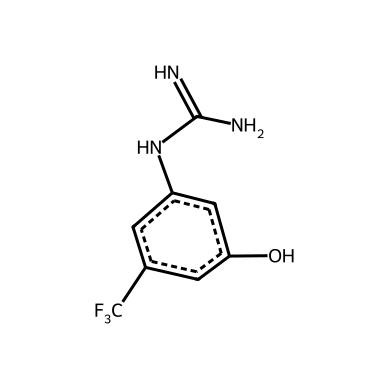 N=C(N)Nc1cc(O)cc(C(F)(F)F)c1